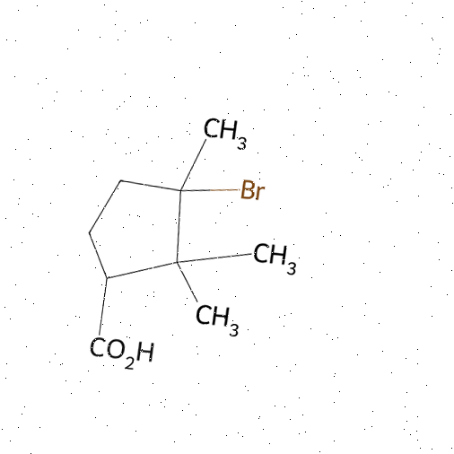 CC1(Br)CCC(C(=O)O)C1(C)C